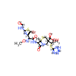 CON=C(C(=O)NC1C(=O)N2CC(C(=O)O)(C(C)Sc3nnn[nH]3)CS[C@H]12)c1nc(NC=O)sc1Br